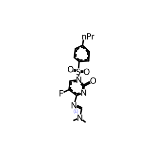 CCCc1ccc(S(=O)(=O)n2cc(F)c(/N=C/N(C)C)nc2=O)cc1